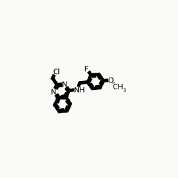 COc1ccc(CNc2nc(CCl)nc3ccccc23)c(F)c1